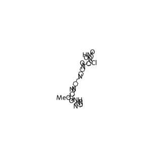 COc1cc2nn(C3CCC(CCN4CCC5(CC4)CCN(C(=O)c4ccc(Cl)c(N6CCC(=O)NC6=O)c4)CC5)CC3)cc2cc1C(=O)Nc1cnc2cccnn12